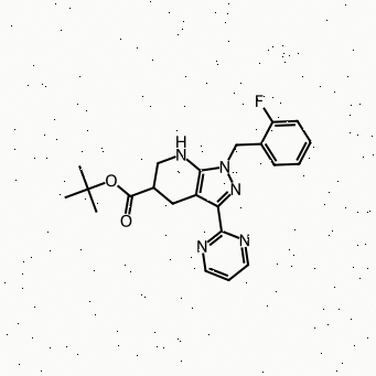 CC(C)(C)OC(=O)C1CNc2c(c(-c3ncccn3)nn2Cc2ccccc2F)C1